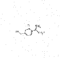 CC(C)Cc1ccc(C(C)C(=O)O)cc1.[Ti]